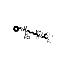 CCC(CC)COC(=O)C(N)CCCCNC(=O)OCc1ccccc1.Cl